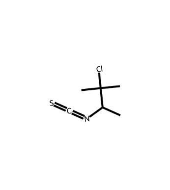 CC(N=C=S)C(C)(C)Cl